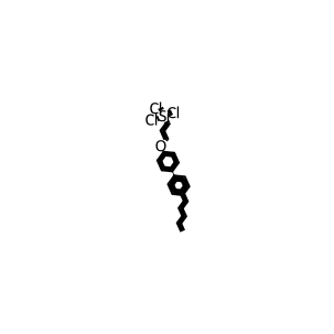 CCCCCc1ccc([C@H]2CC[C@H](OCCC[Si](Cl)(Cl)Cl)CC2)cc1